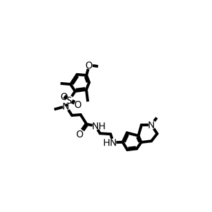 COc1cc(C)c(S(=O)(=O)N(C)CCC(=O)NCCNc2ccc3c(c2)CN(C)CC3)c(C)c1